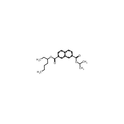 CCCCC(CC)OC(=O)c1ccc2ccc(C(=O)OC(C)C)cc2c1